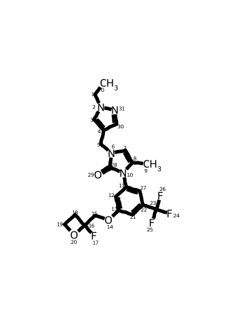 CCn1cc(Cn2cc(C)n(-c3cc(OCC4(F)CCO4)cc(C(F)(F)F)c3)c2=O)cn1